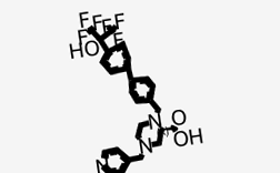 O=C(O)[C@H]1CN(Cc2ccncc2)CCN1Cc1ccc(-c2ccc(C(O)(C(F)(F)F)C(F)(F)F)cc2)cc1